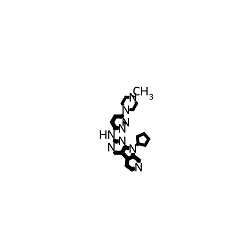 CN1CCN(c2ccc(Nc3ncc4c5ccncc5n(C5CCCC5)c4n3)nn2)CC1